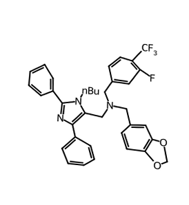 CCCCn1c(-c2ccccc2)nc(-c2ccccc2)c1CN(Cc1ccc(C(F)(F)F)c(F)c1)Cc1ccc2c(c1)OCO2